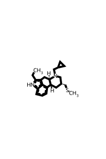 CCc1[nH]c2cccc3c2c1C[C@@H]1[C@@H]3C[C@@H](CSC)CN1CC1CC1